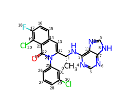 C[C@@H](Nc1ncnc2[nH]cnc12)c1cc2ccc(F)c(Cl)c2c(=O)n1-c1cccc(Cl)c1